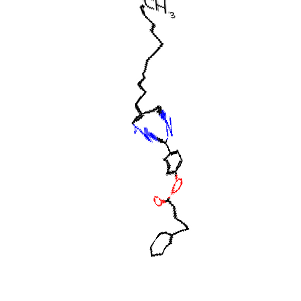 CCCCCCCCCCc1cnc(-c2ccc(OC(=O)CCCC3CCCCC3)cc2)nc1